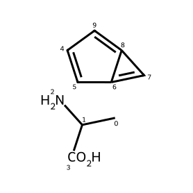 CC(N)C(=O)O.c1cc2cc-2c1